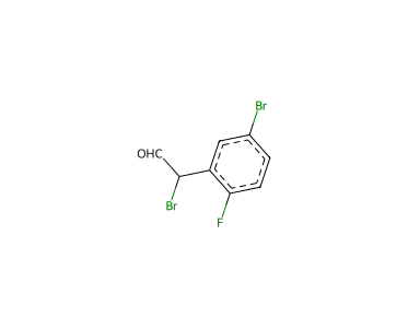 O=CC(Br)c1cc(Br)ccc1F